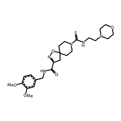 COc1ccc(CNC(=O)C2=NOC3(CCN(C(=S)NCCN4CCOCC4)CC3)C2)cc1OC